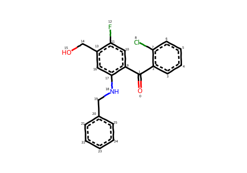 O=C(c1ccccc1Cl)c1cc(F)c(CO)cc1NCc1ccccc1